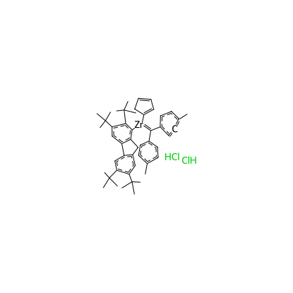 Cc1ccc([C](c2ccc(C)cc2)=[Zr]([C]2=CC=CC2)[c]2c3c(cc(C(C)(C)C)c2C(C)(C)C)-c2cc(C(C)(C)C)c(C(C)(C)C)cc2C3)cc1.Cl.Cl